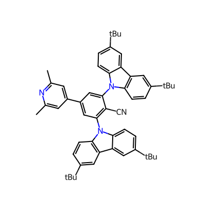 Cc1cc(-c2cc(-n3c4ccc(C(C)(C)C)cc4c4cc(C(C)(C)C)ccc43)c(C#N)c(-n3c4ccc(C(C)(C)C)cc4c4cc(C(C)(C)C)ccc43)c2)cc(C)n1